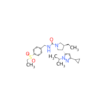 CC[C@@H]1CN(C(=O)NCc2ccc(S(=O)(=O)CC)cc2)C[C@H]1c1cc(C2CC2)nn1C(C)C